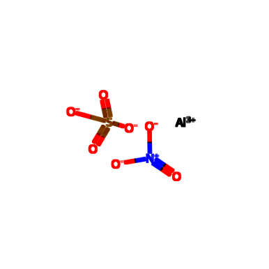 O=S(=O)([O-])[O-].O=[N+]([O-])[O-].[Al+3]